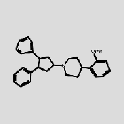 COc1ccccc1C1CCN(C2CC(c3ccccc3)C(c3ccccc3)C2)CC1